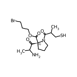 CC(N)C(=O)[C@]1(C(=O)OCCCBr)CCCN1C(=O)C(C)CS